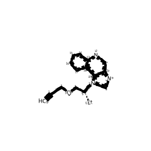 C#CCOC[C@@H](CC)n1cnc2cnc3ccccc3c21